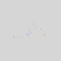 CCOC(=O)Cc1csc(NC(=O)c2cc(Oc3ccc(S(=O)(=O)CC)cc3)nc(OC(C)C)c2)n1